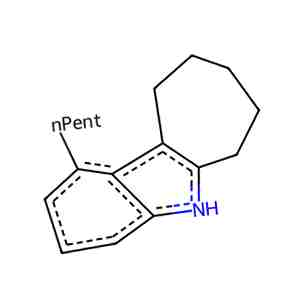 CCCCCc1cccc2[nH]c3c(c12)CCCCC3